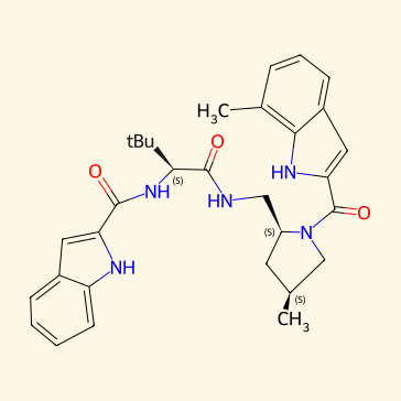 Cc1cccc2cc(C(=O)N3C[C@@H](C)C[C@H]3CNC(=O)[C@@H](NC(=O)c3cc4ccccc4[nH]3)C(C)(C)C)[nH]c12